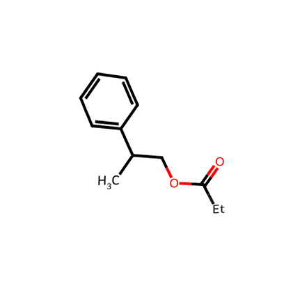 CCC(=O)OCC(C)c1ccccc1